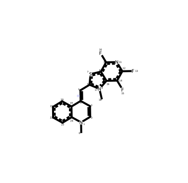 CN1C=C/C(=C\c2sc3c(F)nc(F)c(F)c3[n+]2C)c2ccccc21